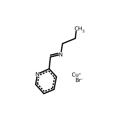 CCCN=Cc1ccccn1.[Br-].[Cu+]